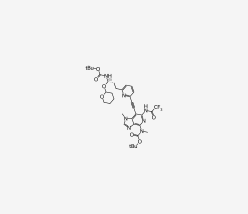 CN(C(=O)OC(C)(C)C)c1nc(NC(=O)C(F)(F)F)c(C#Cc2cccc(CC[C@@H](NC(=O)OC(C)(C)C)OC3CCCCO3)n2)c2c1ncn2C